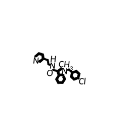 Cc1c(C(=O)NCCc2cccnc2)c2ccccc2n1Cc1ccc(Cl)cc1